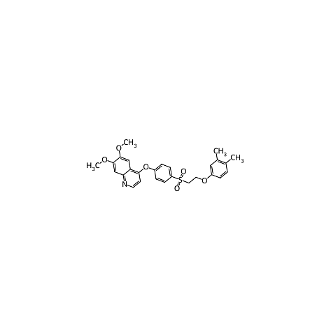 COc1cc2nccc(Oc3ccc(S(=O)(=O)CCOc4ccc(C)c(C)c4)cc3)c2cc1OC